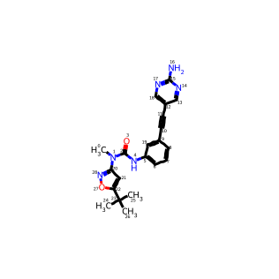 CN(C(=O)Nc1cccc(C#Cc2cnc(N)nc2)c1)c1cc(C(C)(C)C)on1